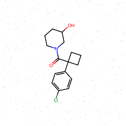 O=C(N1CCCC(O)C1)C1(c2ccc(Cl)cc2)CCC1